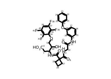 O=C(O)CC(NC(=O)C1(C(=O)NCC(=O)Nc2cccc(Oc3ccccc3)c2)CCC1)C(O)COc1c(F)c(F)cc(F)c1F